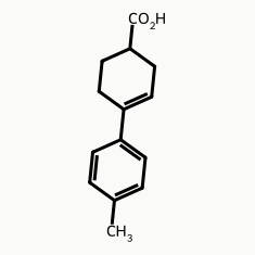 Cc1ccc(C2=CCC(C(=O)O)CC2)cc1